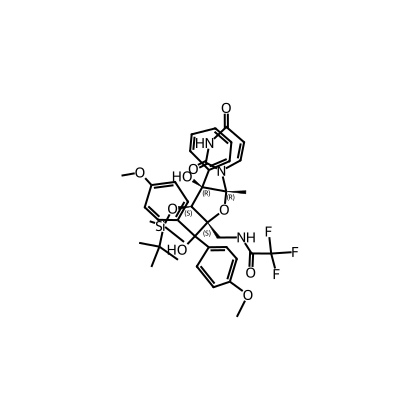 COc1ccc(C(O)(c2ccc(OC)cc2)[C@@]2(CNC(=O)C(F)(F)F)O[C@@](C)(n3ccc(=O)[nH]c3=O)[C@@](O)(c3ccccc3)[C@@H]2O[Si](C)(C)C(C)(C)C)cc1